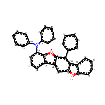 c1ccc(-c2c3oc4c(N(c5ccccc5)c5ccccc5)cccc4c3cc3oc4ccccc4c23)cc1